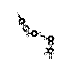 Cc1c(N2Cc3cccc(OCCOc4ccc(C(=O)N5CCN(c6ccc(C#N)cn6)CC5)cc4)c3C2)cn[nH]c1=O